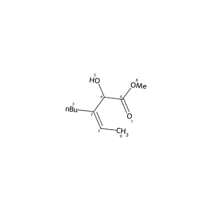 CC=C(CCCC)C(O)C(=O)OC